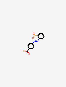 O=C(O)c1ccc(N=Nc2ccccc2P(=O)=O)cc1